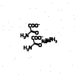 NC(=O)C(=O)[O-].NC(=O)C(=O)[O-].P.[Na+].[Na+]